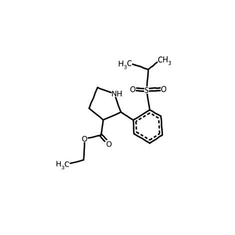 CCOC(=O)C1CCNC1c1ccccc1S(=O)(=O)C(C)C